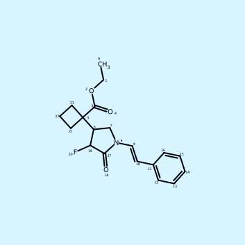 CCOC(=O)C1(C2CN(C=Cc3ccccc3)C(=O)C2F)CCC1